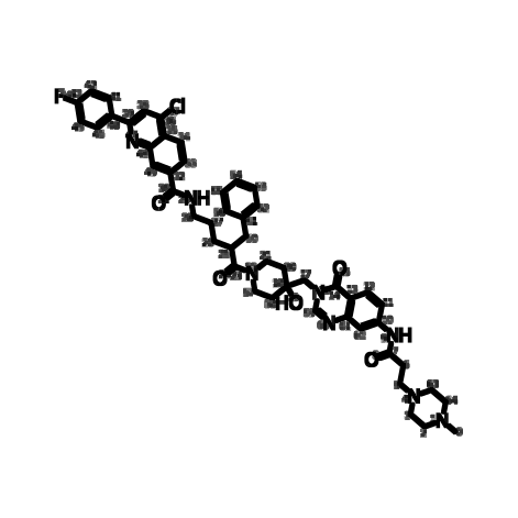 CN1CCN(CCC(=O)Nc2ccc3c(=O)n(CC4(O)CCN(C(=O)C(CCCNC(=O)c5ccc6c(Cl)cc(-c7ccc(F)cc7)nc6c5)Cc5ccccc5)CC4)cnc3c2)CC1